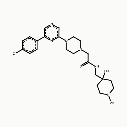 CC(=O)N1CCC(O)(CNC(=O)CN2CCN(c3nncc(-c4ccc(Cl)cc4)n3)CC2)CC1